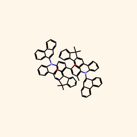 Cc1cc(-c2ccc(N(c3ccccc3-c3ccc4c(c3)C(C)(C)c3ccccc3-4)c3cc4ccccc4c4ccccc34)c(C)c2)ccc1N(c1ccccc1-c1ccc2c(c1)C(C)(C)c1ccccc1-2)c1cc2ccccc2c2ccccc12